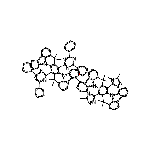 Cc1nnc(-c2c3c(c(-c4nnc(C)n4C)c4c2C(C)(C)c2cccc5c6ccccc6n-4c25)C(C)(C)c2cccc4c5c(-c6cccc7c6c6cccc8c6n7-c6c(-c7nc(-c9ccccc9)nc(-c9ccccc9)n7)c7c(c(-c9nc(-c%10ccccc%10)nc(-c%10ccccc%10)n9)c6C8(C)C)-n6c8ccccc8c8cccc(c86)C7(C)C)cccc5n-3c24)n1C